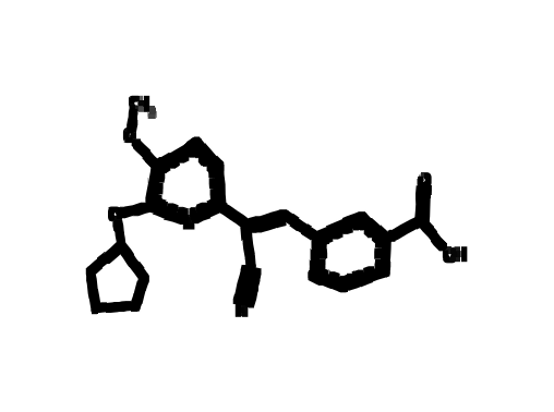 COc1ccc(/C(C#N)=C/c2cccc(C(=O)O)c2)nc1OC1CCCC1